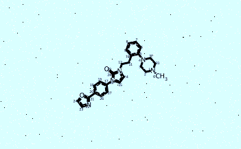 CN1CCN(c2ccccc2CCn2ccn(-c3ccc(-c4ncco4)cc3)c2=O)CC1